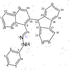 C(=N\Nc1ccccc1)/c1c(C2c3ccccc3-c3ccccc32)ccc2ccccc12